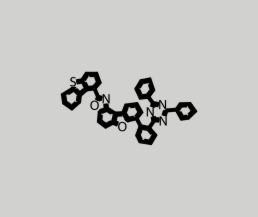 c1ccc(-c2nc(-c3ccccc3)nc(-c3ccccc3-c3cccc4c3oc3ccc5oc(-c6cccc7sc8ccccc8c67)nc5c34)n2)cc1